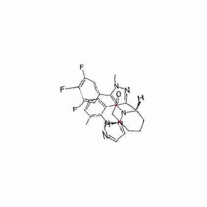 Cc1cccc(C(=O)N2[C@@H]3CCC[C@H]2c2nn(C)c(-c4cc(F)c(F)c(F)c4)c2C3)c1-n1nccn1